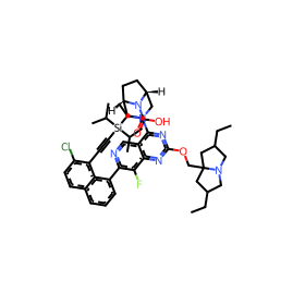 CCC1CN2CC(CC)CC2(COc2nc(N3C[C@H]4CC[C@@H](C3)N4C(=O)O)c3cnc(-c4cccc5ccc(Cl)c(C#C[Si](C(C)C)(C(C)C)C(C)C)c45)c(F)c3n2)C1